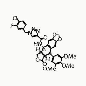 COc1cc([C@@H]2c3cc4c(cc3[C@@H](NC(=O)c3cn(Cc5ccc(Cl)c(F)c5)nn3)[C@H]3COC(=O)[C@H]23)OCO4)cc(OC)c1OC